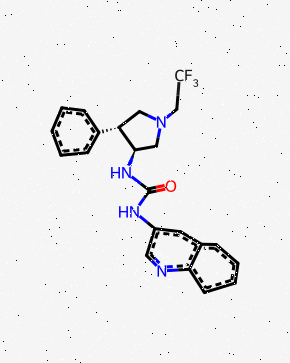 O=C(Nc1cnc2ccccc2c1)N[C@@H]1CN(CC(F)(F)F)C[C@H]1c1ccccc1